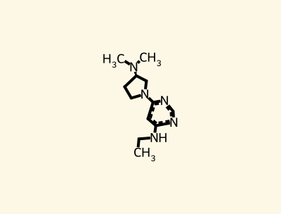 CCNc1cc(N2CC[C@@H](N(C)C)C2)ncn1